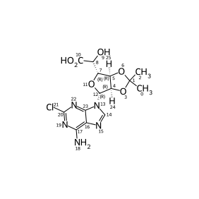 CC1(C)O[C@@H]2[C@H](O1)[C@@H](C(O)C(=O)O)O[C@H]2n1cnc2c(N)nc(Cl)nc21